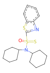 O=S(=S)(c1nc2ccccc2s1)N(C1CCCCC1)C1CCCCC1